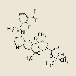 COC1(c2cc3c(N[C@H](C)c4cccc(C(F)F)c4F)ccnc3cc2C(C)=O)CCN(C(=O)OC(C)(C)C)CC1